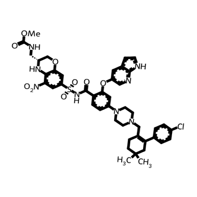 COC(=O)NC[C@@H]1COc2cc(S(=O)(=O)NC(=O)c3ccc(N4CCN(CC5=C(c6ccc(Cl)cc6)CC(C)(C)CC5)CC4)cc3Oc3cnc4[nH]ccc4c3)cc([N+](=O)[O-])c2N1